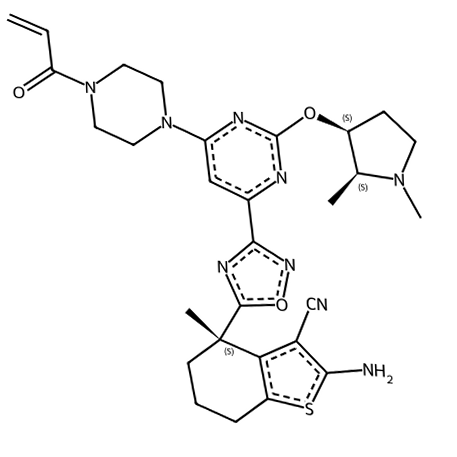 C=CC(=O)N1CCN(c2cc(-c3noc([C@@]4(C)CCCc5sc(N)c(C#N)c54)n3)nc(O[C@H]3CCN(C)[C@H]3C)n2)CC1